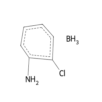 B.Nc1ccccc1Cl